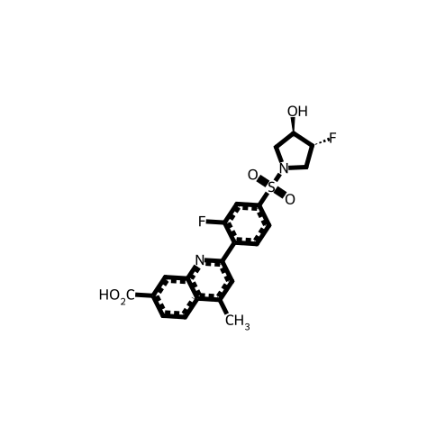 Cc1cc(-c2ccc(S(=O)(=O)N3C[C@@H](O)[C@H](F)C3)cc2F)nc2cc(C(=O)O)ccc12